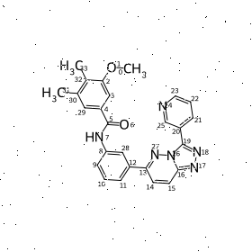 COc1cc(C(=O)Nc2cccc(-c3ccc4nnc(-c5cccnc5)n4n3)c2)cc(C)c1C